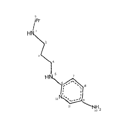 CC(C)NCCCNc1ccc(N)cn1